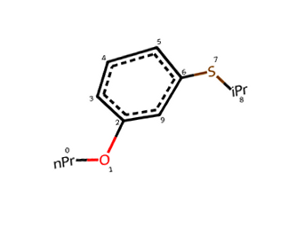 CCCOc1cccc(SC(C)C)c1